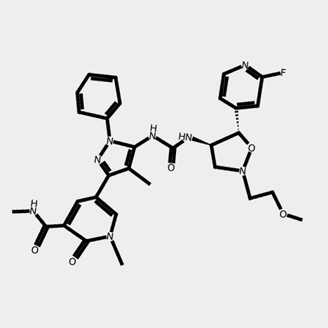 CNC(=O)c1cc(-c2nn(-c3ccccc3)c(NC(=O)N[C@@H]3CN(CCOC)O[C@H]3c3ccnc(F)c3)c2C)cn(C)c1=O